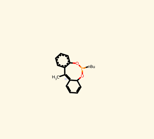 CCCCP1Oc2ccccc2/C(C)=C2/C=CC=CC2O1